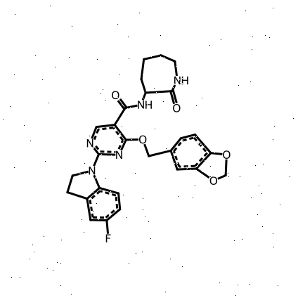 O=C(NC1CCCCNC1=O)c1cnc(N2CCc3cc(F)ccc32)nc1OCc1ccc2c(c1)OCO2